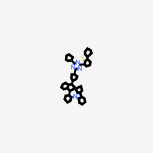 c1ccc(-c2nc(-c3ccc(-c4ccc(-c5ccccc5-n5c6ccccc6c6ccccc65)c5ccccc45)cc3)nc(-c3cccc4c3sc3ccccc34)n2)cc1